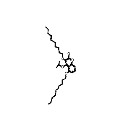 CCCCCCCCCCOc1c(OC(C)C)c2c(OCCCCCCCCCC)cccc2oc1=O